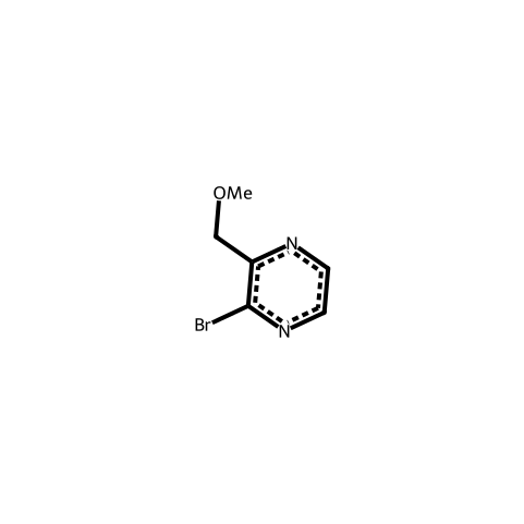 COCc1nccnc1Br